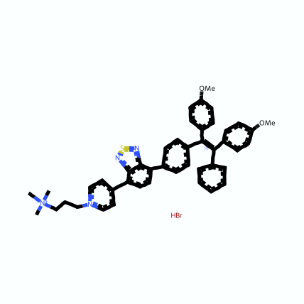 Br.COc1ccc(/C(=C(\c2ccc(OC)cc2)c2ccc(-c3ccc(-c4cc[n+](CCC[N+](C)(C)C)cc4)c4nsnc34)cc2)c2ccccc2)cc1